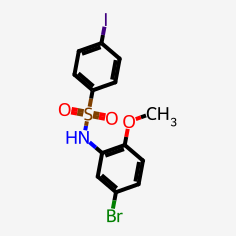 COc1ccc(Br)cc1NS(=O)(=O)c1ccc(I)cc1